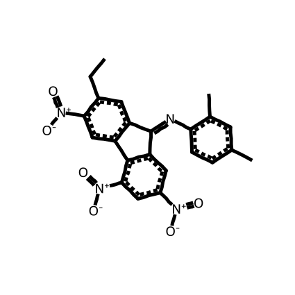 CCc1cc2c(cc1[N+](=O)[O-])-c1c(cc([N+](=O)[O-])cc1[N+](=O)[O-])C2=Nc1ccc(C)cc1C